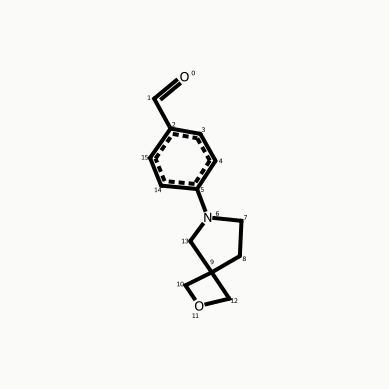 O=Cc1ccc(N2CCC3(COC3)C2)cc1